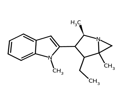 CCC1C(c2cc3ccccc3n2C)[C@@H](C)N2CC12C